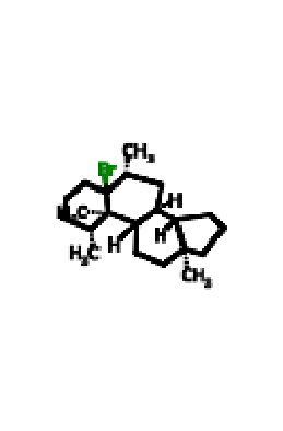 C[C@@H]1CCC[C@]2(Br)[C@H](C)C[C@H]3[C@@H]4CCC[C@@]4(C)CC[C@@H]3[C@@]12C